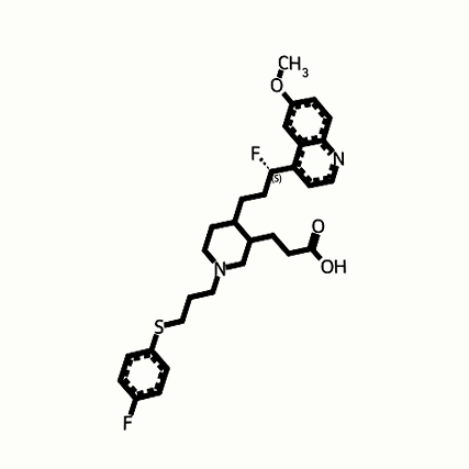 COc1ccc2nccc([C@@H](F)CCC3CCN(CCCSc4ccc(F)cc4)CC3CCC(=O)O)c2c1